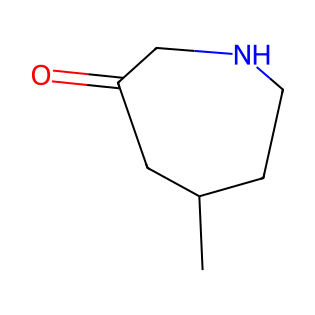 CC1CCNCC(=O)C1